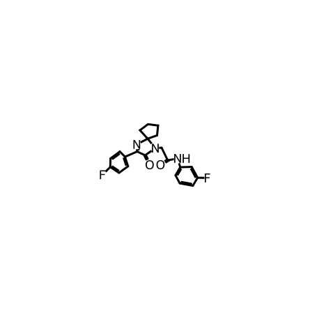 O=C(CN1C(=O)C(c2ccc(F)cc2)=NC12CCCC2)Nc1cccc(F)c1